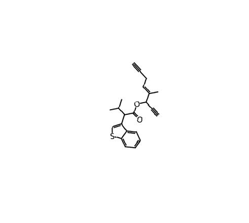 C#CCC=C(C)C(C#C)OC(=O)C(c1csc2ccccc12)C(C)C